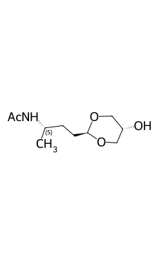 CC(=O)N[C@@H](C)CC[C@H]1OC[C@H](O)CO1